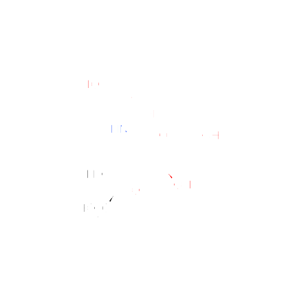 C[C@@H](O[C@@H]1CC(O)(NC(=O)CO)O[C@H](CO)[C@H]1O)C(=O)O